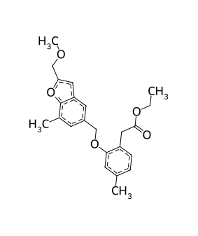 CCOC(=O)Cc1ccc(C)cc1OCc1cc(C)c2oc(COC)cc2c1